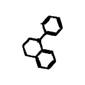 [c]1ccccc1N1CCCc2ccccc21